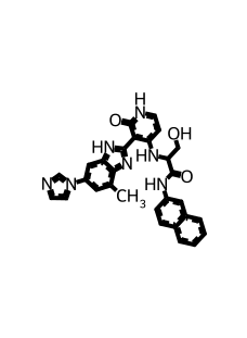 Cc1cc(-n2ccnc2)cc2[nH]c(-c3c(NC(CO)C(=O)Nc4ccc5ccccc5c4)cc[nH]c3=O)nc12